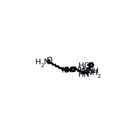 CC(CCCNc1ccc(N2CCN(CCCCCCCCCC(N)=O)CC2)cc1)O/C(=C/C(=N)c1ccccc1O)C(=N)N